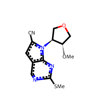 CO[C@H]1COC[C@@H]1n1c(C#N)cc2cnc(SC)nc21